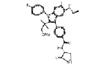 C=NNc1cc2c(-c3ccc(C(=O)N[C@@H]4CCNC4=O)cc3)c(C(C)(C)COC)n(-c3ccc(F)cc3)c2cc1C